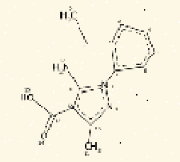 CCc1ccccc1-n1nc(C)c(C(=O)O)c1N